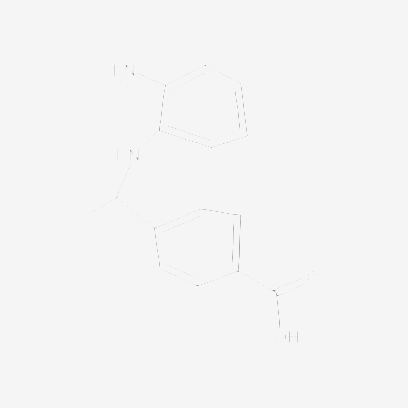 CC(Nc1ccccc1N)c1ccc(C(=O)O)cc1